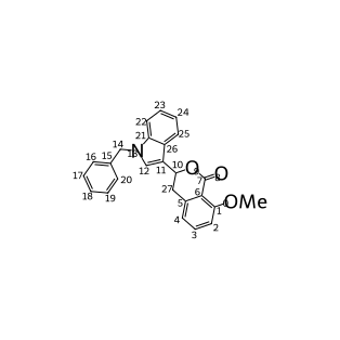 COc1cccc2c1C(=O)OC(c1cn(Cc3ccccc3)c3ccccc13)C2